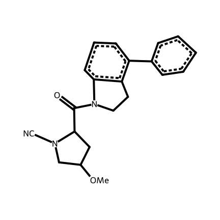 COC1CC(C(=O)N2CCc3c(-c4ccccc4)cccc32)N(C#N)C1